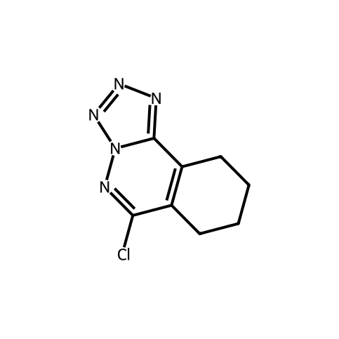 Clc1nn2nnnc2c2c1CCCC2